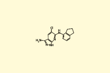 Nc1n[nH]c2nc(Nc3cccc4c3CCC4)c(Cl)cc12